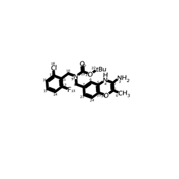 CC1=C(N)Nc2cc(CN(Cc3c(F)cccc3Cl)C(=O)OC(C)(C)C)ccc2O1